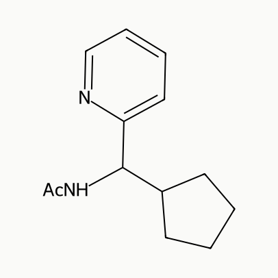 CC(=O)NC(c1ccccn1)C1CCCC1